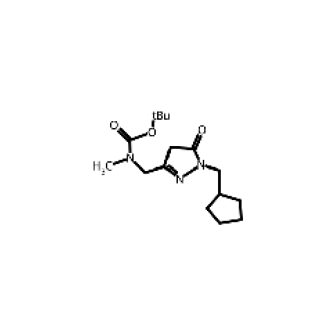 CN(CC1=NN(CC2CCCC2)C(=O)C1)C(=O)OC(C)(C)C